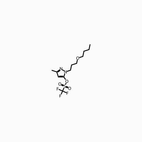 CCCCOCCCn1nc(C)cc1OS(=O)(=O)C(F)(F)F